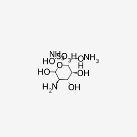 N.N.N[C@H]1C(O)O[C@H](CO)[C@@H](O)[C@@H]1O.O=S(=O)(O)O